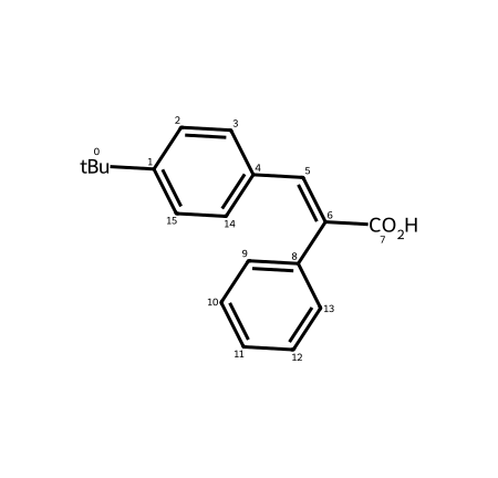 CC(C)(C)c1ccc(C=C(C(=O)O)c2ccccc2)cc1